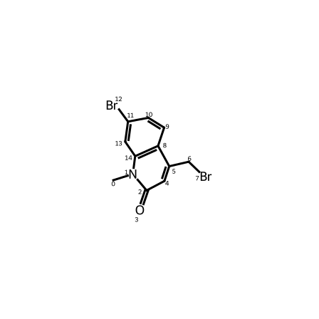 Cn1c(=O)cc(CBr)c2ccc(Br)cc21